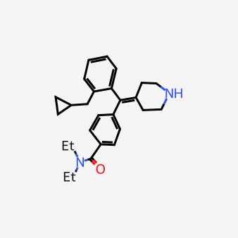 CCN(CC)C(=O)c1ccc(C(=C2CCNCC2)c2ccccc2CC2CC2)cc1